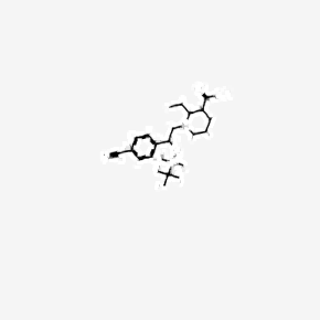 CCC1C(C(=O)O)CCCN1CC(O[Si](C)(C)C(C)(C)C)c1ccc(C#N)cc1